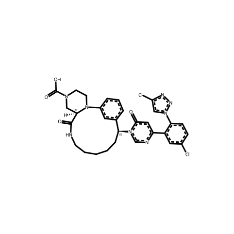 O=C1NCCCCC[C@H](n2cnc(-c3cc(Cl)ccc3-n3cc(Cl)nn3)cc2=O)c2cccc(c2)N2CCN(C(=O)O)C[C@H]12